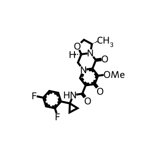 COc1c2n(cc(C(=O)NC3(c4ccc(F)cc4F)CC3)c1=O)C[C@H]1OC[C@H](C)N1C2=O